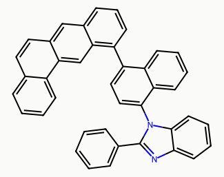 c1ccc(-c2nc3ccccc3n2-c2ccc(-c3cccc4cc5ccc6ccccc6c5cc34)c3ccccc23)cc1